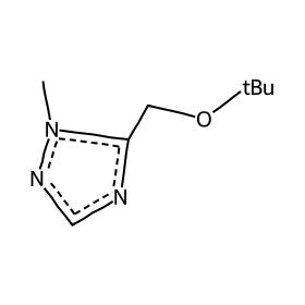 Cn1ncnc1COC(C)(C)C